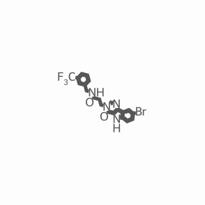 O=C(CCn1cnc2c([nH]c3ccc(Br)cc32)c1=O)NCc1cccc(C(F)(F)F)c1